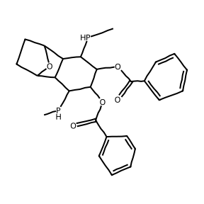 CPC1C(OC(=O)c2ccccc2)C(OC(=O)c2ccccc2)C(PC)C2C3CCC(O3)C12